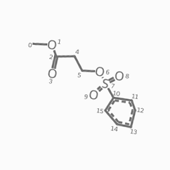 COC(=O)CCOS(=O)(=O)c1ccccc1